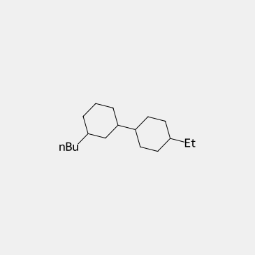 CCCCC1CCCC(C2CCC(CC)CC2)C1